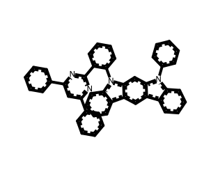 c1ccc(-c2cc(-c3ccccc3)nc(-c3ccccc3-n3c4ccccc4c4cc5c6ccccc6n(-c6ccccc6)c5cc43)n2)cc1